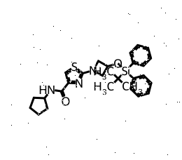 CC(C)(C)[Si](OC1CN(c2nc(C(=O)NC3CCCC3)cs2)C1)(c1ccccc1)c1ccccc1